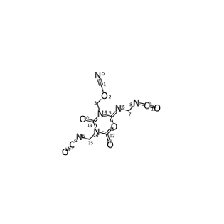 N#COCn1c(=NCN=C=O)oc(=O)n(CN=C=O)c1=O